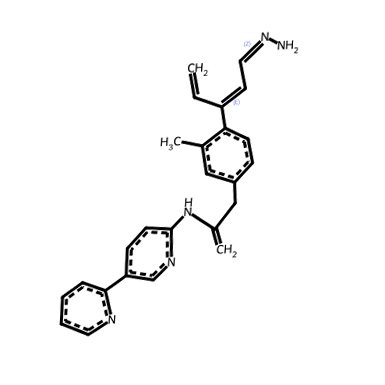 C=C/C(=C\C=N/N)c1ccc(CC(=C)Nc2ccc(-c3ccccn3)cn2)cc1C